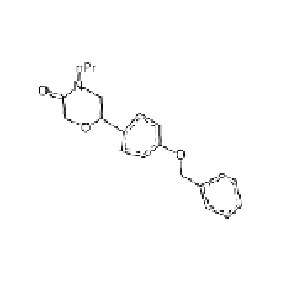 CCCN1CC(c2ccc(OCc3ccccc3)cc2)OCC1=O